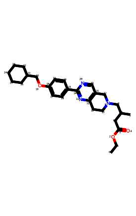 CCOC(=O)CC(C)CN1CCc2nc(-c3ccc(OCC4CCCCC4)cc3)ncc2C1